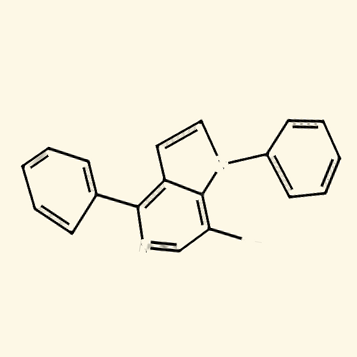 Cc1cnc(-c2ccccc2)c2ccn(-c3ccccc3)c12